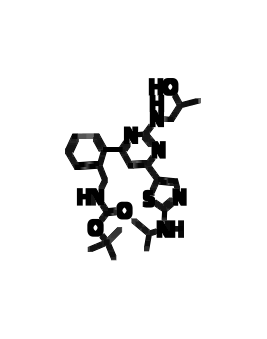 CC(O)CNc1nc(-c2cnc(NC(C)C)s2)cc(-c2ccccc2CNC(=O)OC(C)(C)C)n1